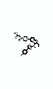 CCc1nc2ccc(N3CCN([S+]([O-])CC(=O)OC)CC3)cn2c1N(C)c1nc(-c2ccc(F)cc2)cs1